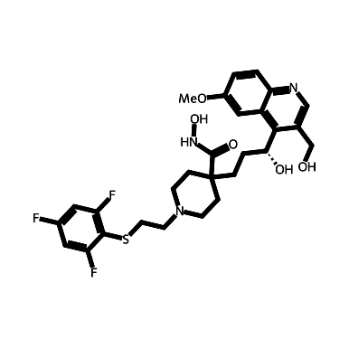 COc1ccc2ncc(CO)c([C@H](O)CCC3(C(=O)NO)CCN(CCSc4c(F)cc(F)cc4F)CC3)c2c1